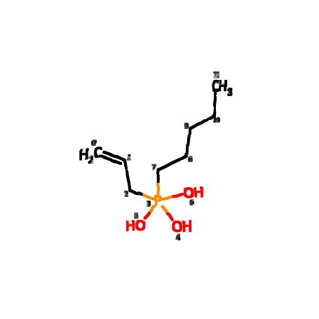 C=CCP(O)(O)(O)CCCCC